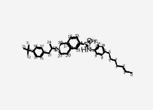 CCCCCCCc1ccc(N[S+]([O-])c2ccc3c(c2)CCN(C(C)Cc2ccc(C(C)(C)C)cc2)C3)c(F)c1